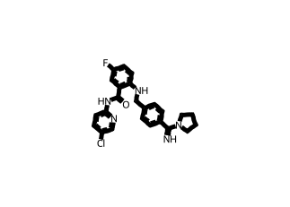 N=C(c1ccc(CNc2ccc(F)cc2C(=O)Nc2ccc(Cl)cn2)cc1)N1CCCC1